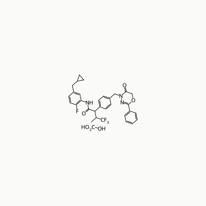 CC(C(C(=O)Nc1cc(CC2CC2)ccc1F)c1ccc(CN2N=C(c3ccccc3)OCC2=O)cc1)C(F)(F)F.O=C(O)O